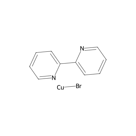 [Cu][Br].c1ccc(-c2ccccn2)nc1